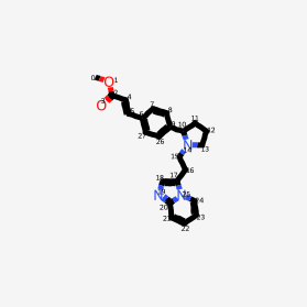 COC(=O)C=Cc1ccc(C2CCCN2CCc2cnc3ccccn23)cc1